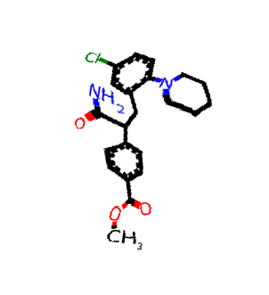 COC(=O)c1ccc(C(Cc2cc(Cl)ccc2N2CCCCC2)C(N)=O)cc1